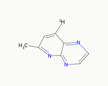 [2H]c1cc(C)nc2nccnc12